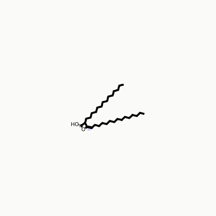 CCCCCCCCCCCCCC/C=C1/O[C@H](O)C1CCCCCCCCCCCCCC